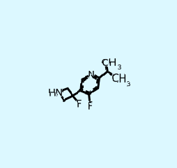 CC(C)c1cc(F)c(C2(F)CNC2)cn1